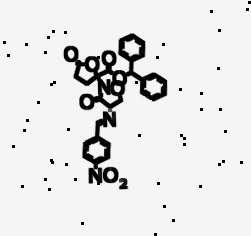 O=C1CCC(C(=O)OC(c2ccccc2)c2ccccc2)(N2OC[C@H](N=Cc3ccc([N+](=O)[O-])cc3)C2=O)O1